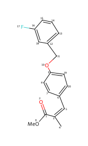 COC(=O)C(C)=Cc1ccc(OCc2cccc(F)c2)cc1